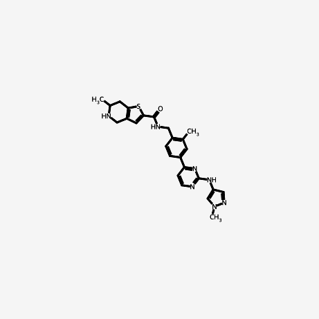 Cc1cc(-c2ccnc(Nc3cnn(C)c3)n2)ccc1CNC(=O)c1cc2c(s1)CC(C)NC2